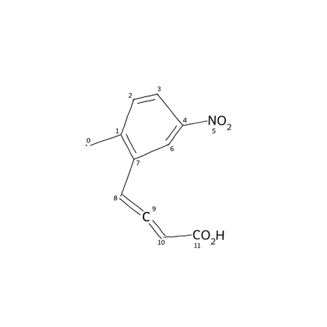 [CH2]c1ccc([N+](=O)[O-])cc1C=C=CC(=O)O